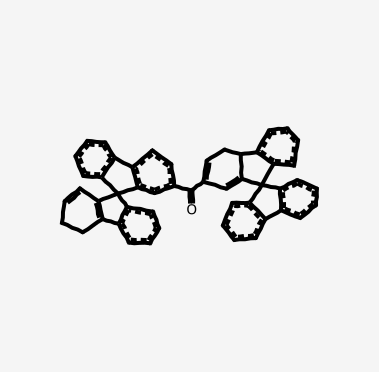 O=C(C1=CCC2C(=C1)C1(c3ccccc3-c3ccccc31)c1ccccc12)c1ccc2c(c1)C1(C3=C(CCC=C3)c3ccccc31)c1ccccc1-2